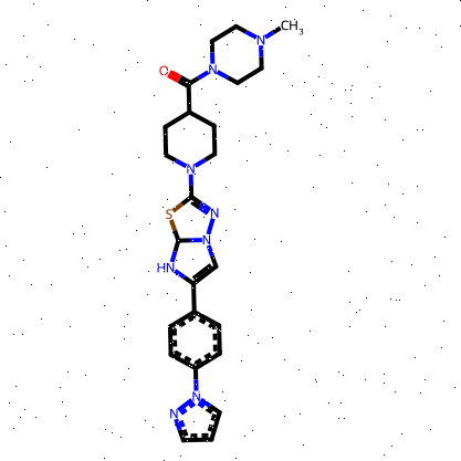 CN1CCN(C(=O)C2CCN(C3=NN4C=C(c5ccc(-n6cccn6)cc5)NC4S3)CC2)CC1